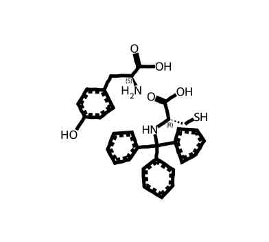 N[C@@H](Cc1ccc(O)cc1)C(=O)O.O=C(O)[C@H](CS)NC(c1ccccc1)(c1ccccc1)c1ccccc1